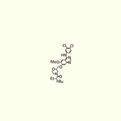 CCCCC(CC)C(=O)N1CCOC(COc2cc3ncnc(Nc4ccc(Cl)c(Cl)c4)c3cc2OC)C1